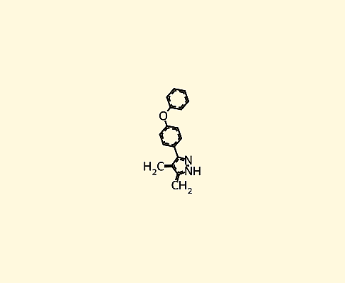 C=c1[nH]nc(-c2ccc(Oc3ccccc3)cc2)c1=C